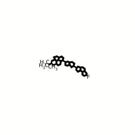 CC(C)(C)C1C=c2ccc3ccc(-c4ccc5cc(-c6ccc7c(ccc8cc(F)ccc87)c6)ccc5c4)c4ccc(c2c34)C1